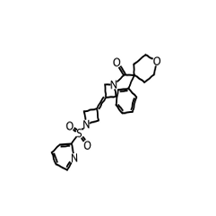 O=C(N1CC(=C2CN(S(=O)(=O)c3ccccn3)C2)C1)C1(c2ccccc2)CCOCC1